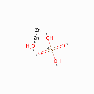 O.O=S(=O)(O)O.[Zn].[Zn]